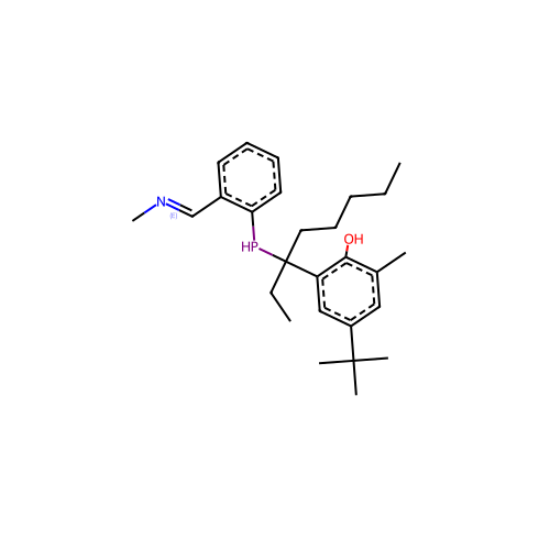 CCCCCC(CC)(Pc1ccccc1/C=N/C)c1cc(C(C)(C)C)cc(C)c1O